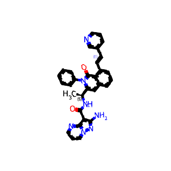 C[C@H](NC(=O)c1c(N)nn2cccnc12)c1cc2cccc(/C=C/c3cccnc3)c2c(=O)n1-c1ccccc1